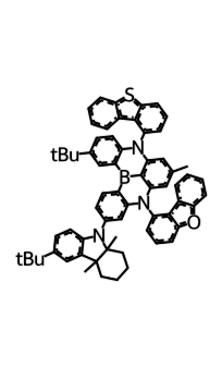 Cc1cc2c3c(c1)N(c1cccc4sc5ccccc5c14)c1ccc(C(C)(C)C)cc1B3c1ccc(N3c4ccc(C(C)(C)C)cc4C4(C)CCCCC34C)cc1N2c1cccc2oc3ccccc3c12